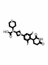 O=C1CCC(c2c(F)cc(N3CC(N(C(=O)O)C4CCSCC4)C3)cc2F)C(=O)N1